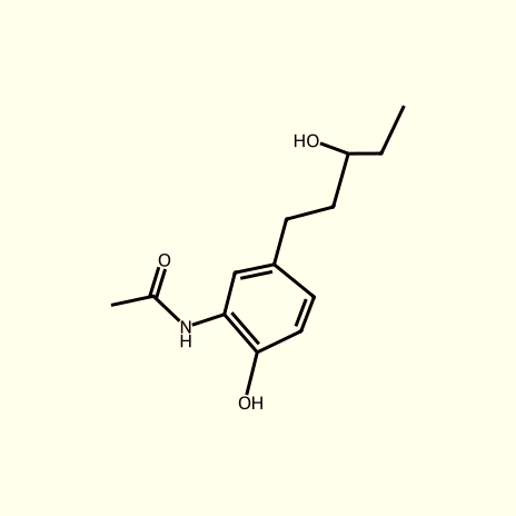 CCC(O)CCc1ccc(O)c(NC(C)=O)c1